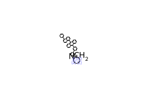 C=C1/C=C\C=C/C/C=C\C=C/1c1cc(-c2cccc(-c3c4ccccc4c(-c4cccc5c(C6=CC=CCC6)cccc45)c4ccccc34)c2)ccn1